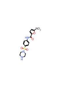 O=C(Nc1ccc(S(=O)(=O)N2CCNCC2)cc1)c1ccc([N+](=O)[O-])o1